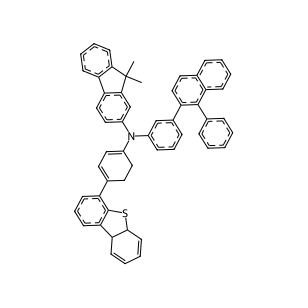 CC1(C)c2ccccc2-c2ccc(N(C3=CC=C(c4cccc5c4SC4C=CC=CC54)CC3)c3cccc(-c4ccc5ccccc5c4-c4ccccc4)c3)cc21